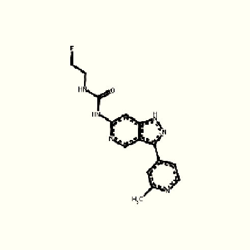 Cc1cc(-c2n[nH]c3cc(NC(=O)NCCF)ncc23)ccn1